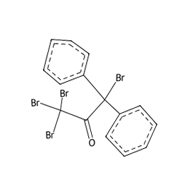 O=C(C(Br)(Br)Br)C(Br)(c1ccccc1)c1ccccc1